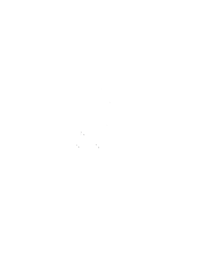 CCOC(=O)CSc1nnc(C)n1-c1ccc(C)c2c1CCCC2